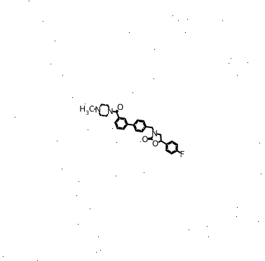 CN1CCN(C(=O)c2cccc(-c3ccc(CN4CC(c5ccc(F)cc5)OC4=O)cc3)c2)CC1